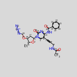 CCC1OC(n2cc(C#CCNC(=O)C(F)(F)F)c(NC(=O)c3ccccc3)nc2=O)CC1OCN=[N+]=[N-]